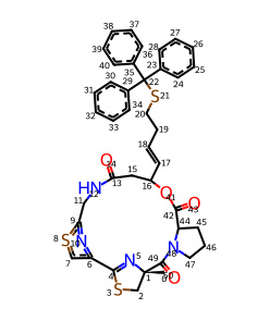 C[C@@]12CSC(=N1)c1csc(n1)CNC(=O)CC(/C=C/CCSC(c1ccccc1)(c1ccccc1)c1ccccc1)OC(=O)C1CCCN1C2=O